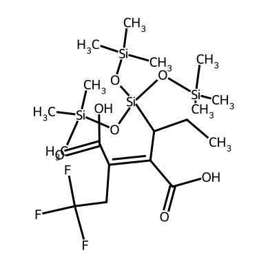 CCC(/C(C(=O)O)=C(/CC(F)(F)F)C(=O)O)[Si](O[Si](C)(C)C)(O[Si](C)(C)C)O[Si](C)(C)C